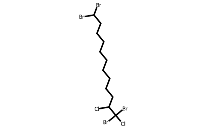 ClC(CCCCCCCCCC(Br)Br)C(Cl)(Br)Br